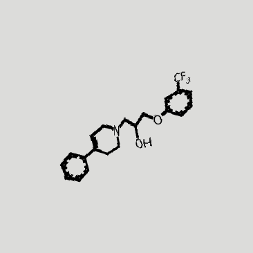 OC(COc1cccc(C(F)(F)F)c1)CN1CC=C(c2ccccc2)CC1